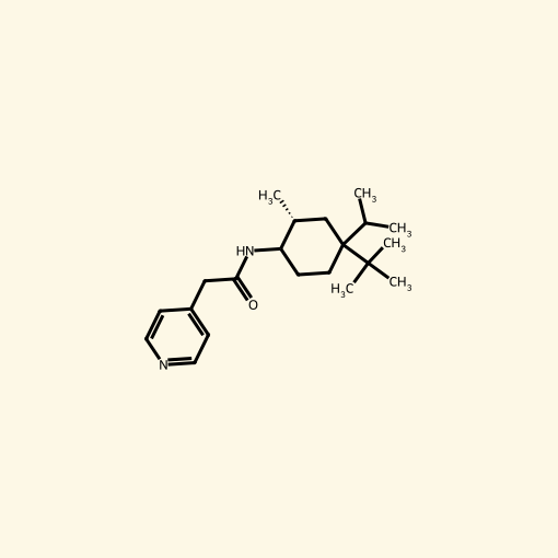 CC(C)C1(C(C)(C)C)CCC(NC(=O)Cc2ccncc2)[C@H](C)C1